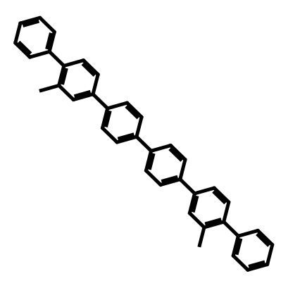 Cc1cc(-c2ccc(-c3ccc(-c4ccc(-c5ccccc5)c(C)c4)cc3)cc2)ccc1-c1ccccc1